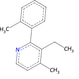 CCc1c(C)ccnc1-c1ccccc1C